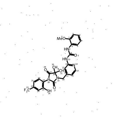 COc1ccccc1NC(=O)Nc1cc(CN2C(=O)N(c3ccc(C(F)(F)F)cc3S)C(=O)C2(C)C)ccn1